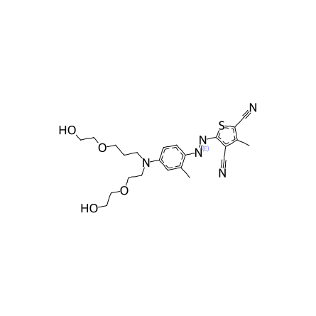 Cc1cc(N(CCCOCCO)CCOCCO)ccc1/N=N/c1sc(C#N)c(C)c1C#N